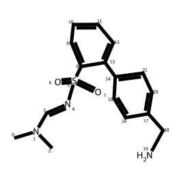 CN(C)C=NS(=O)(=O)c1ccccc1-c1ccc(CN)cc1